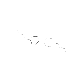 CCCCc1ccc([C@H]2CC[C@H](C/C=C/F)CC2)cc1